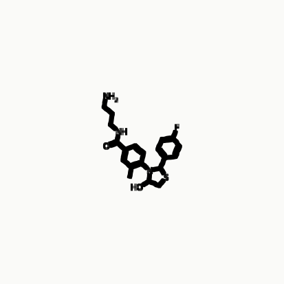 Cc1cc(C(=O)NCCCN)ccc1N1C(O)CSC1c1ccc(F)cc1